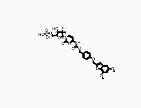 COc1cc(OC)c2oc(COc3ccc(COC(=O)Nc4ccn([C@@H]5OC(COP(=O)(O)O)[C@@H](O)C5(F)F)c(=O)n4)cc3)cc2c1